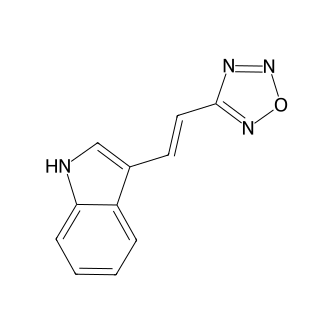 C(=C\c1c[nH]c2ccccc12)/c1nnon1